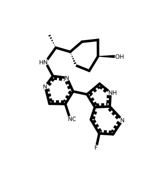 [C-]#[N+]c1cnc(N[C@H](C)[C@H]2CC[C@H](O)CC2)nc1-c1c[nH]c2ncc(F)cc12